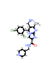 Cc1nc2nc(C(=O)NCc3ccncc3)cn2c(-c2ccc(Cl)cc2Cl)c1CN